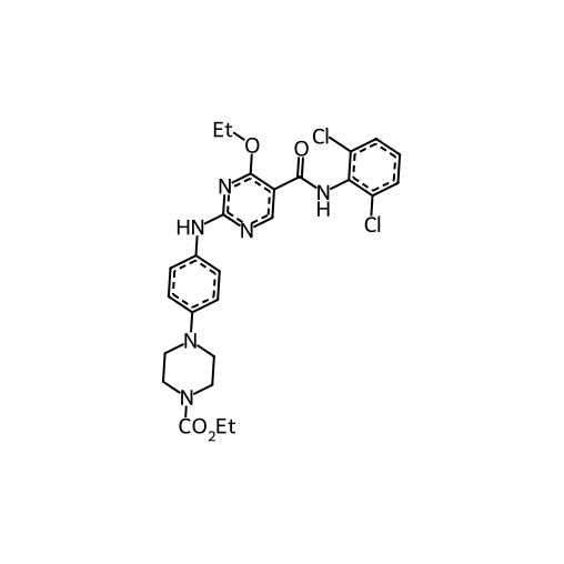 CCOC(=O)N1CCN(c2ccc(Nc3ncc(C(=O)Nc4c(Cl)cccc4Cl)c(OCC)n3)cc2)CC1